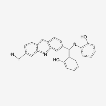 [N][C]c1ccc2cc3ccc(C([N]c4ccccc4O)=C4CC=CC=C4O)cc3nc2c1